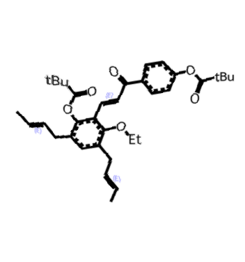 C/C=C/Cc1cc(C/C=C/C)c(OC(=O)C(C)(C)C)c(/C=C/C(=O)c2ccc(OC(=O)C(C)(C)C)cc2)c1OCC